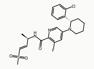 C[C@H](/C=C/S(C)(=O)=O)NC(=O)c1ncc(N2CCCC[C@H]2c2ccccc2Cl)cc1F